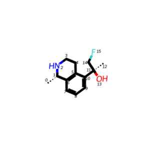 C[C@@H]1NCCc2c1cccc2[C@](C)(O)CF